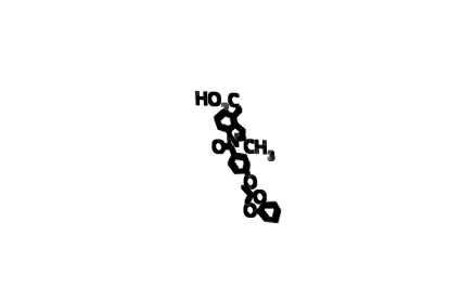 Cc1cc2c(CC(=O)O)cccc2n1C(=O)c1ccc(OCC2COc3ccccc3O2)cc1